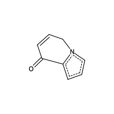 O=C1C=CCn2cccc21